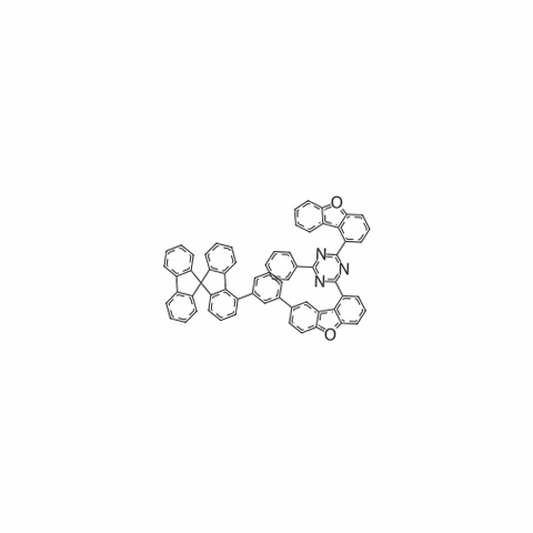 c1ccc(-c2nc(-c3cccc4oc5ccccc5c34)nc(-c3cccc4oc5ccc(-c6cccc(-c7cccc8c7-c7ccccc7C87c8ccccc8-c8ccccc87)c6)cc5c34)n2)cc1